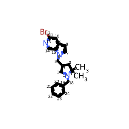 CC1(C)CC(Cn2ccc3cc(Br)ncc32)CN1Cc1ccccc1